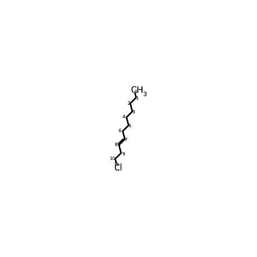 CCCCCCCC=CCCCl